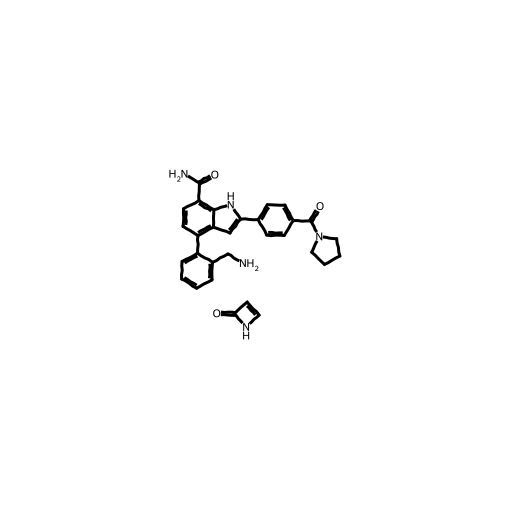 NCc1ccccc1-c1ccc(C(N)=O)c2[nH]c(-c3ccc(C(=O)N4CCCC4)cc3)cc12.O=C1C=CN1